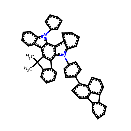 CC1(C)c2ccccc2-c2c1c1c3ccccc3n(-c3ccccc3)c1c1c3ccccc3n(-c3ccc(-c4ccc5c6c(cccc46)-c4ccccc4-5)cc3)c21